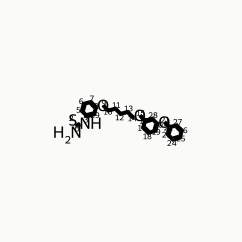 NC(=S)Nc1cccc(OCCCCCOc2cccc(Oc3ccccc3)c2)c1